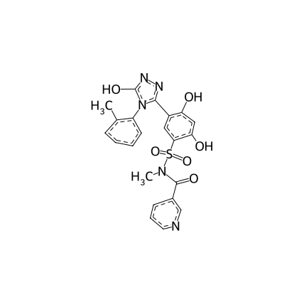 Cc1ccccc1-n1c(O)nnc1-c1cc(S(=O)(=O)N(C)C(=O)c2cccnc2)c(O)cc1O